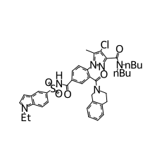 CCCCN(CCCC)C(=O)c1nn(-c2ccc(C(=O)NS(=O)(=O)c3ccc4c(ccn4CC)c3)cc2C(=O)N2CCc3ccccc3C2)c(C)c1Cl